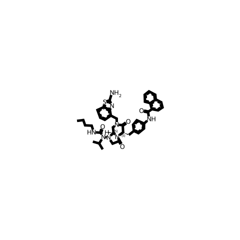 CCCCNC(=O)N(C(C)C)N1CC(=O)N2[C@@H](Cc3ccc(NC(=O)c4cccc5ccccc45)cc3)C(=O)N(Cc3cccc4sc(N)nc34)C[C@@H]21